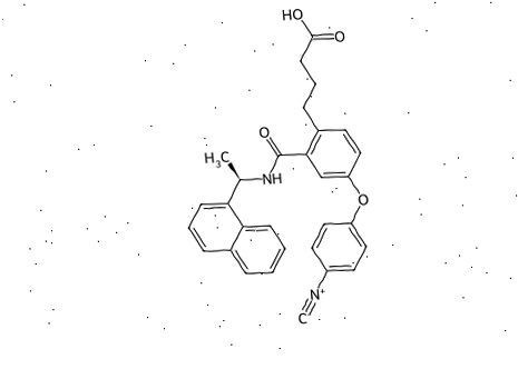 [C-]#[N+]c1ccc(Oc2ccc(CCCC(=O)O)c(C(=O)N[C@H](C)c3cccc4ccccc34)c2)cc1